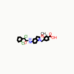 COc1cc(C(=O)O)ccc1Cn1ccc2cc(NCC(=O)C(Cl)c3ccccc3Cl)ccc21